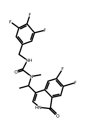 CC(c1c[nH]c(=O)c2cc(F)c(F)cc12)N(C)C(=O)NCc1cc(F)c(F)c(F)c1